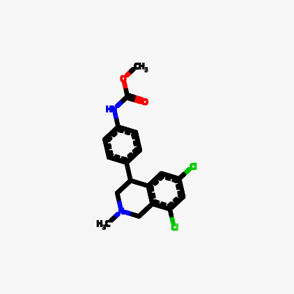 COC(=O)Nc1ccc(C2CN(C)Cc3c(Cl)cc(Cl)cc32)cc1